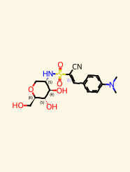 CN(C)c1ccc(/C=C(\C#N)S(=O)(=O)N[C@H]2CO[C@H](CO)[C@@H](O)[C@@H]2O)cc1